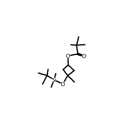 CC1(O[Si](C)(C)C(C)(C)C)CC(OC(=O)C(C)(C)C)C1